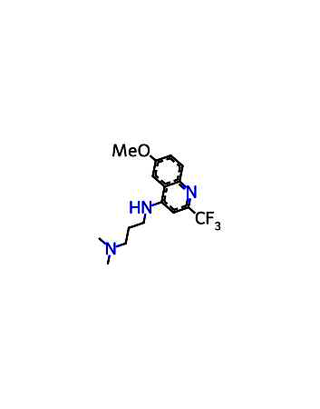 COc1ccc2nc(C(F)(F)F)cc(NCCCN(C)C)c2c1